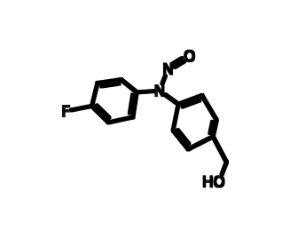 O=NN(c1ccc(F)cc1)c1ccc(CO)cc1